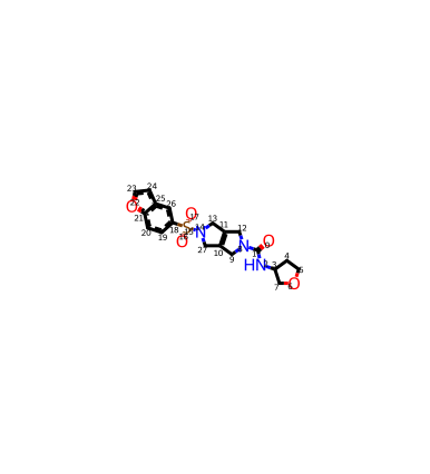 O=C(NC1CCOC1)N1CC2=C(C1)CN(S(=O)(=O)c1ccc3occc3c1)C2